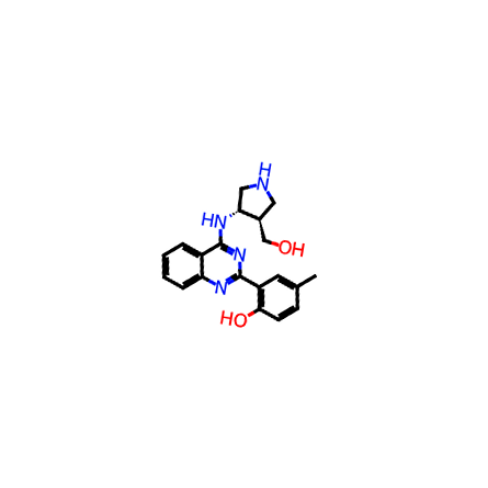 Cc1ccc(O)c(-c2nc(N[C@@H]3CNC[C@H]3CO)c3ccccc3n2)c1